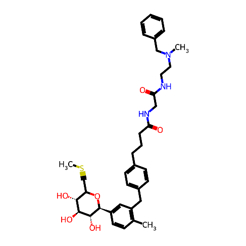 CS#CC1O[C@@H](c2ccc(C)c(Cc3ccc(CCCC(=O)NCC(=O)NCCN(C)Cc4ccccc4)cc3)c2)[C@H](O)[C@@H](O)[C@@H]1O